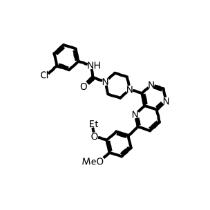 CCOc1cc(-c2ccc3ncnc(N4CCN(C(=O)Nc5cccc(Cl)c5)CC4)c3n2)ccc1OC